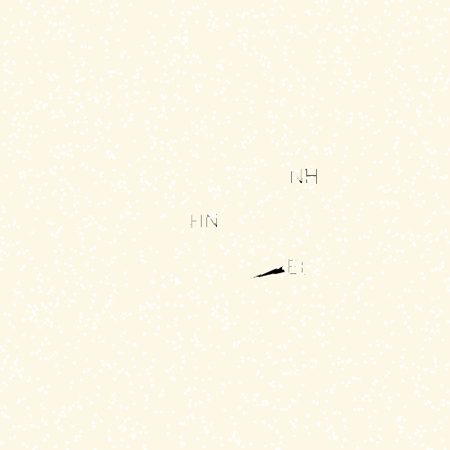 CC[C@H](NC(=N)C1CCCC1)c1ccccc1